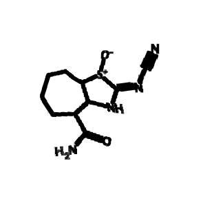 N#C/N=C1/NC2C(C(N)=O)CCCCC2[S+]1[O-]